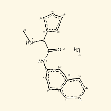 CNC(C(=O)Nc1ccc2cnccc2c1)c1ccsc1.Cl